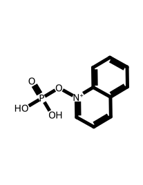 O=P(O)(O)O[n+]1cccc2ccccc21